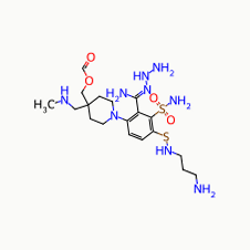 CNCC1(COC=O)CCN(c2ccc(SNCCCN)c(S(N)(=O)=O)c2/C(N)=N/NN)CC1